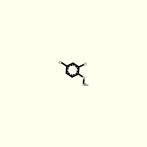 CCCCOc1ccc(Cl)cc1Cl